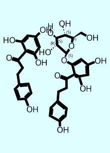 O=C(CCc1ccc(O)cc1)c1c(O)cc(O)cc1O.O=C(CCc1ccc(O)cc1)c1c(O)cc(O)cc1O[C@@H]1O[C@H](CO)[C@@H](O)[C@H](O)[C@H]1O